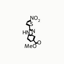 COC(=O)c1ccc2[nH]c(-c3ccc([N+](=O)[O-])s3)nc2c1